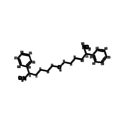 O=[N+]([O-])C(CCCCOCCCCC(c1ccccc1)[N+](=O)[O-])c1ccccc1